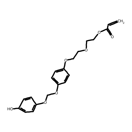 C=CC(=O)OCCOCCOc1ccc(OCOc2ccc(O)cc2)cc1